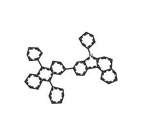 c1ccc(-c2c3ccccc3c(-c3ccccc3)c3cc(-c4ccc5c6c7ccccc7ccc6n(-c6ccccc6)c5c4)ccc23)cc1